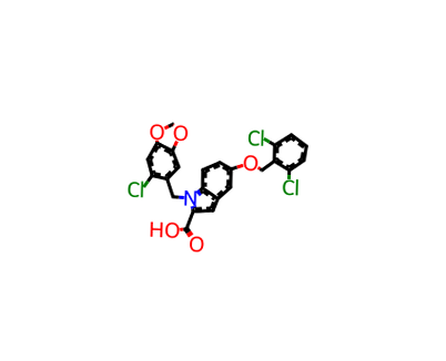 O=C(O)c1cc2cc(OCc3c(Cl)cccc3Cl)ccc2n1Cc1cc2c(cc1Cl)OCO2